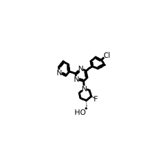 OC[C@@H]1CCN(c2cc(-c3ccc(Cl)cc3)nc(-c3cccnc3)n2)C[C@@H]1F